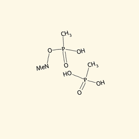 CNOP(C)(=O)O.CP(=O)(O)O